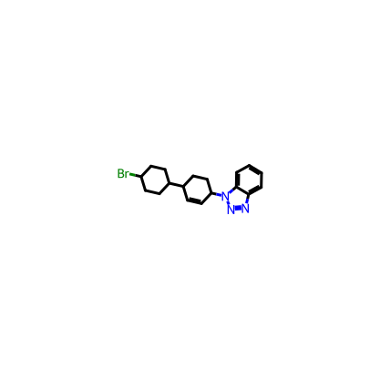 BrC1CCC(C2C=CC(n3nnc4ccccc43)CC2)CC1